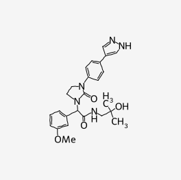 COc1cccc(C(C(=O)NCC(C)(C)O)N2CCN(c3ccc(-c4cn[nH]c4)cc3)C2=O)c1